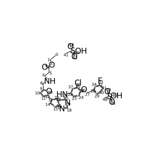 CCOC(=O)CCNCc1ccc(-c2ccc3ncnc(Nc4ccc(OCc5cccc(F)c5)c(Cl)c4)c3c2)o1.CS(=O)(=O)O.CS(=O)(=O)O